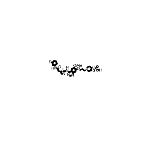 COc1cc2c(Nc3ncc(CC(=O)Nc4cccc(F)c4)s3)ncnc2cc1OCCCN1CCC(OP(=O)(O)O)CC1